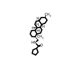 C[C@H]1CC[C@H]2[C@H](CC[C@@H]3[C@@H]2CC[C@]2(C)[C@@H](CNC(=O)C4CCCC4)CCC[C@@H]32)C1